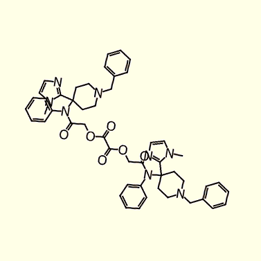 Cn1ccnc1C1(N(C(=O)COC(=O)C(=O)OCC(=O)N(c2ccccc2)C2(c3nccn3C)CCN(Cc3ccccc3)CC2)c2ccccc2)CCN(Cc2ccccc2)CC1